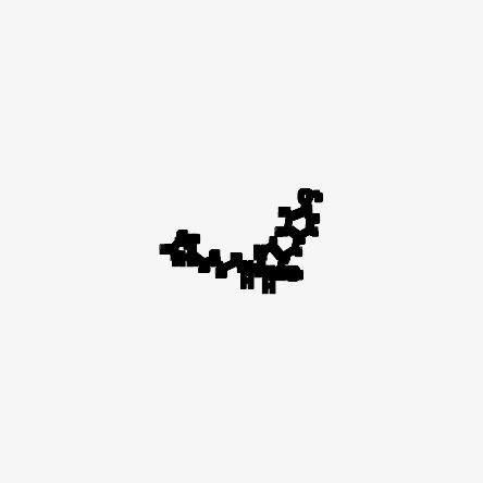 COc1ccc(Cc2cnc(NCCSCc3ncsn3)[nH]c2=O)cc1